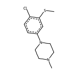 CSc1cc(N2CCN(C)CC2)ccc1Cl